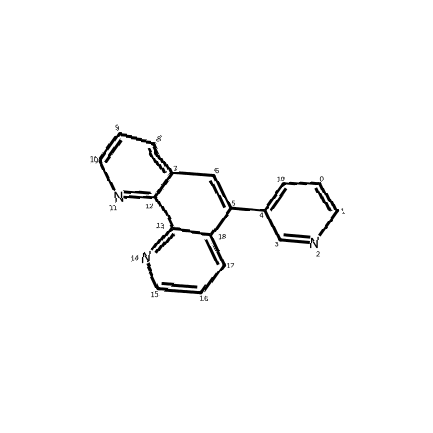 c1cncc(-c2cc3cccnc3c3ncccc23)c1